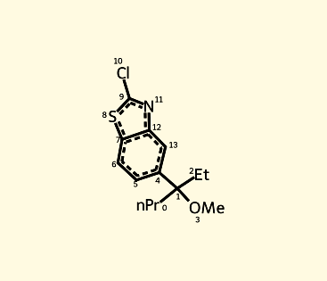 CCCC(CC)(OC)c1ccc2sc(Cl)nc2c1